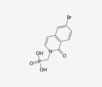 O=c1c2ccc(Br)cc2ccn1CP(=O)(O)O